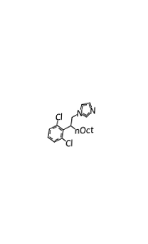 CCCCCCCCC(Cn1ccnc1)c1c(Cl)cccc1Cl